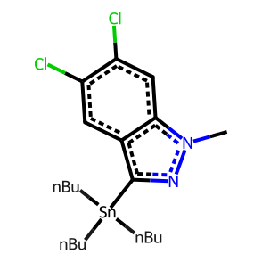 CCC[CH2][Sn]([CH2]CCC)([CH2]CCC)[c]1nn(C)c2cc(Cl)c(Cl)cc12